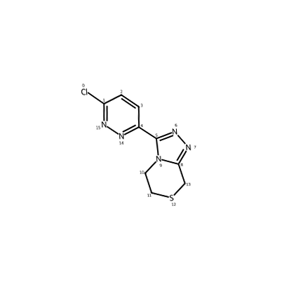 Clc1ccc(-c2nnc3n2CCSC3)nn1